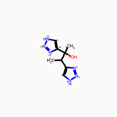 CC(c1c[nH]nn1)C(C)(O)c1c[nH]nn1